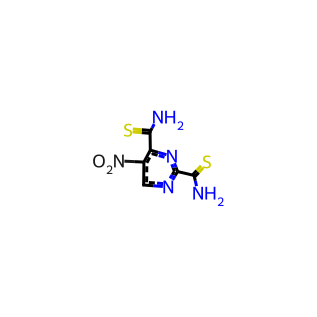 NC(=S)c1ncc([N+](=O)[O-])c(C(N)=S)n1